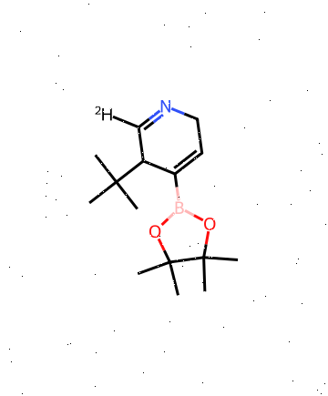 [2H]C1=NCC=C(B2OC(C)(C)C(C)(C)O2)C1C(C)(C)C